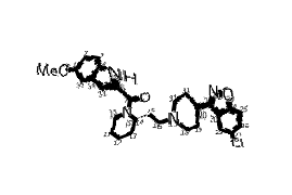 COc1ccc2[nH]c(C(=O)N3CCCC[C@H]3CCN3CCC(c4noc5ccc(Cl)cc45)CC3)cc2c1